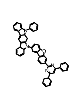 C1=CCC(c2cc(-c3ccccc3)nc(-c3ccc4c(c3)oc3ccc(N5C6=C(C=C7c8ccccc8N(c8ccccc8)C7C6)C6C=CC=CC65)cc34)n2)C=C1